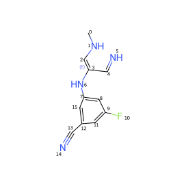 CN/C=C(\C=N)Nc1cc(F)cc(C#N)c1